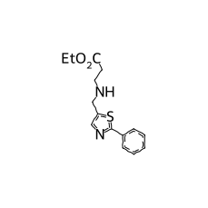 CCOC(=O)CCNCc1cnc(-c2ccccc2)s1